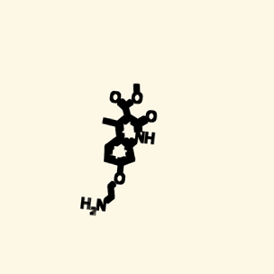 COC(=O)c1c(C)c2ccc(OCCN)cc2[nH]c1=O